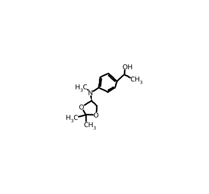 CC(O)c1ccc(N(C)[C@H]2COC(C)(C)O2)cc1